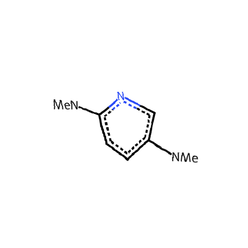 CNc1ccc(NC)nc1